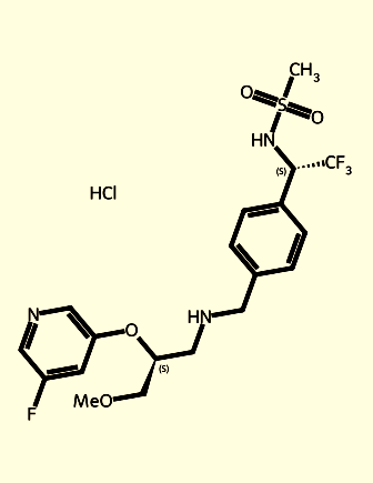 COC[C@H](CNCc1ccc([C@H](NS(C)(=O)=O)C(F)(F)F)cc1)Oc1cncc(F)c1.Cl